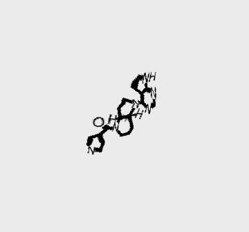 O=C(c1ccncc1)N1CCC[C@@H]2[C@H]1CCN2c1ncnc2[nH]ccc12